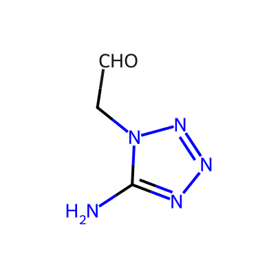 Nc1nnnn1CC=O